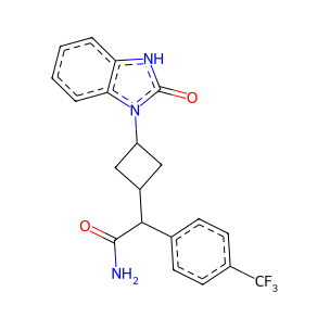 NC(=O)C(c1ccc(C(F)(F)F)cc1)C1CC(n2c(=O)[nH]c3ccccc32)C1